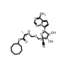 C[C@H](NCOC[C@@]1(C#N)O[C@@H](c2ccc3c(N)ncnn23)[C@H](O)[C@@H]1O)C(=O)OC1CCCCCCC1